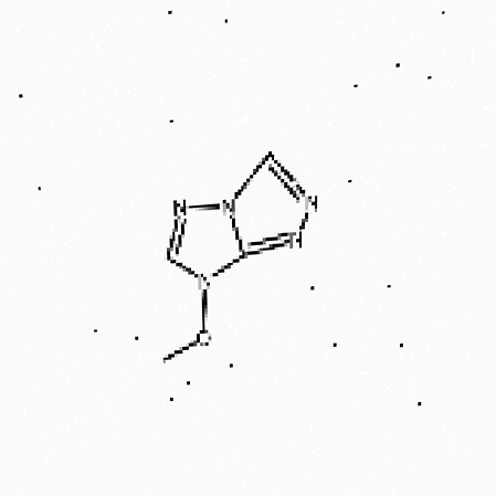 COn1cnn2cnnc12